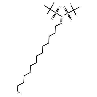 CCCCCCCCCCCCCCN=[N+](S(=O)(=O)C(F)(F)F)S(=O)(=O)C(F)(F)F